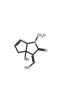 CC(C)(C)C12CC=CC1N(C(=O)O)C(=O)C2=CO